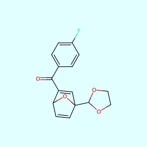 O=C(C1=CC2(C3OCCO3)C=CC1O2)c1ccc(F)cc1